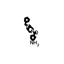 Nc1ccc(C(=O)N2CC3[CH]C(CN(Cc4ccccc4)C3)C2)cc1